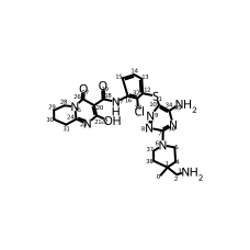 CC1(CN)CCN(c2nnc(Sc3cccc(NC(=O)c4c(O)nc5n(c4=O)CCCC5)c3Cl)c(N)n2)CC1